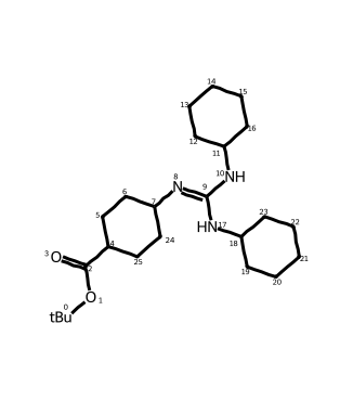 CC(C)(C)OC(=O)C1CCC(N=C(NC2CCCCC2)NC2CCCCC2)CC1